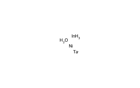 O.[InH3].[Ni].[Ta]